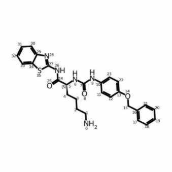 NCCCC[C@H](NC(=O)Nc1ccc(OCc2ccccc2)cc1)C(=O)Nc1nc2ccccc2s1